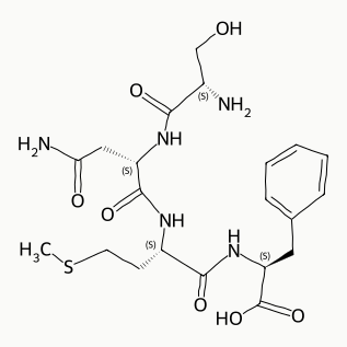 CSCC[C@H](NC(=O)[C@H](CC(N)=O)NC(=O)[C@@H](N)CO)C(=O)N[C@@H](Cc1ccccc1)C(=O)O